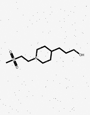 CS(=O)(=O)CCN1CCC(CCCO)CC1